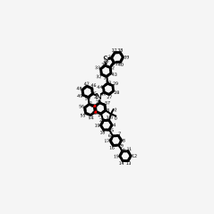 CC1(C)c2cc(-c3ccc(-c4ccccc4)cc3)ccc2-c2ccc(N(c3cccc(-c4ccc5sc6ccccc6c5c4)c3)c3ccccc3-c3ccccc3)cc21